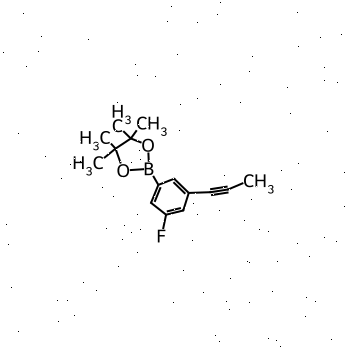 CC#Cc1cc(F)cc(B2OC(C)(C)C(C)(C)O2)c1